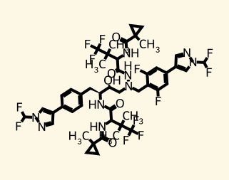 CC1(C(=O)NC(C(=O)N[C@@H](Cc2ccc(-c3cnn(C(F)F)c3)cc2)[C@@H](O)CN(Cc2c(F)cc(-c3cnn(C(F)F)c3)cc2F)NC(=O)C(NC(=O)C2(C)CC2)C(C)(C)C(F)(F)F)C(C)(C)C(F)(F)F)CC1